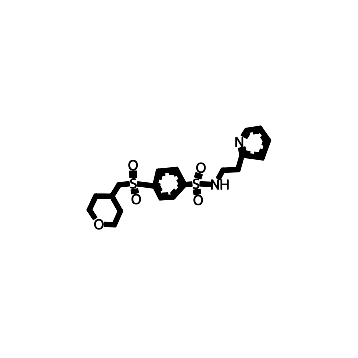 O=S(=O)(CC1CCOCC1)c1ccc(S(=O)(=O)NCCc2ccccn2)cc1